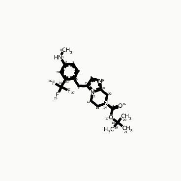 CNc1ccc(Cc2cnc3n2CCN(C(=O)OC(C)(C)C)C3)c(C(F)(F)F)c1